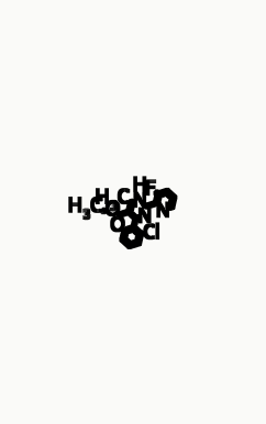 CCOC(=O)C1=C(C)NC(c2ncccc2F)=NC1c1ccccc1Cl